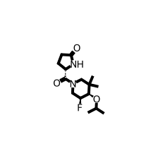 CC(C)O[C@H]1[C@@H](F)CN(C(=O)[C@@H]2CCC(=O)N2)CC1(C)C